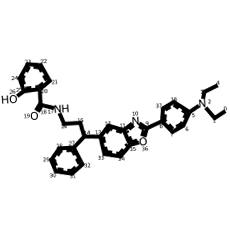 CCN(CC)c1ccc(-c2nc3cc(C(CCNC(=O)c4ccccc4O)c4ccccc4)ccc3o2)cc1